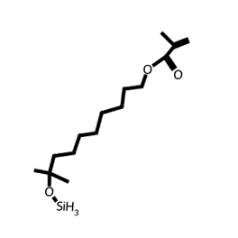 C=C(C)C(=O)OCCCCCCCCC(C)(C)O[SiH3]